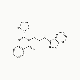 O=C(c1ccccn1)N(CCNc1nsc2ccccc12)C(=O)C1CCCN1